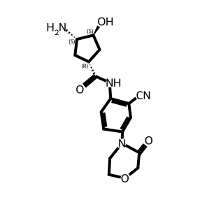 N#Cc1cc(N2CCOCC2=O)ccc1NC(=O)[C@@H]1C[C@H](N)[C@@H](O)C1